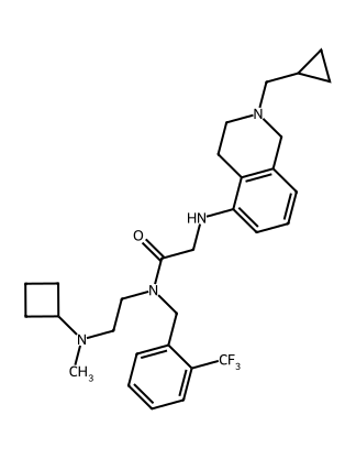 CN(CCN(Cc1ccccc1C(F)(F)F)C(=O)CNc1cccc2c1CCN(CC1CC1)C2)C1CCC1